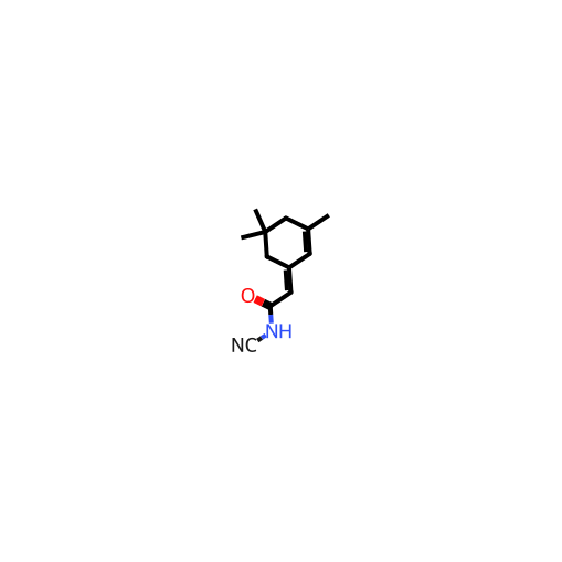 CC1=CC(=CC(=O)NC#N)CC(C)(C)C1